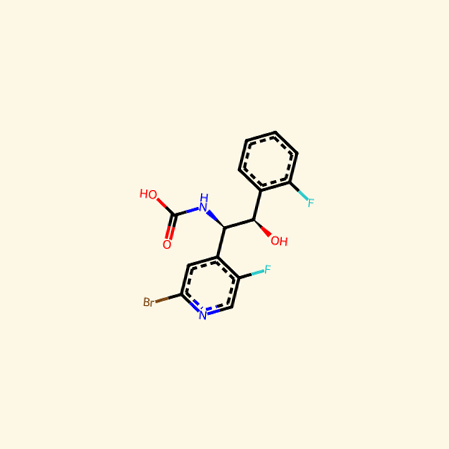 O=C(O)N[C@H](c1cc(Br)ncc1F)[C@H](O)c1ccccc1F